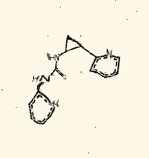 S=C(Nc1ccccn1)NC1CC1c1ccccn1